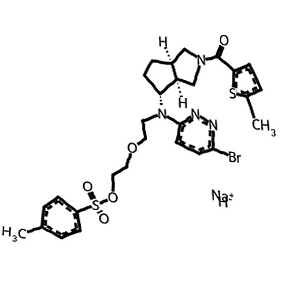 Cc1ccc(S(=O)(=O)OCCOCCN(c2ccc(Br)nn2)[C@@H]2CC[C@H]3CN(C(=O)c4ccc(C)s4)C[C@H]32)cc1.[H-].[Na+]